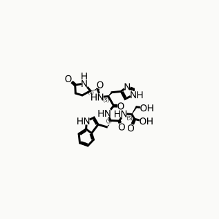 O=C1CC[C@@H](C(=O)N[C@@H](Cc2c[nH]cn2)C(=O)N[C@@H](Cc2c[nH]c3ccccc23)C(=O)N[C@@H](CO)C(=O)O)N1